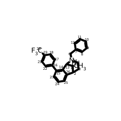 C[C@H]1C2CCN(Cc3ccccc3)C1c1c(-c3ccc(C(F)(F)F)cc3)cccc12